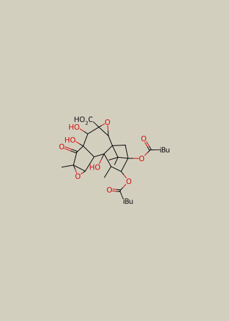 CCC(C)C(=O)OC1C(C)C2(O)C3C4OC4(C)C(=O)C3(O)C(O)C3(C(=O)O)OC3C23CC1(OC(=O)C(C)CC)C3(C)C